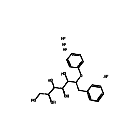 F.F.F.F.OCC(O)C(O)C(O)C(O)C(Cc1ccccc1)Oc1ccccc1